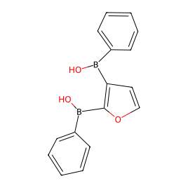 OB(c1ccccc1)c1ccoc1B(O)c1ccccc1